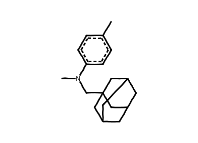 Cc1ccc(N(C)CC23CC4CC(CC(C4)C2)C3)cc1